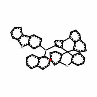 c1ccc2c(c1)Oc1ccccc1C21c2cc(N(c3ccc4c(c3)oc3ccccc34)c3cccc4ccccc34)ccc2-c2cccc3cccc1c23